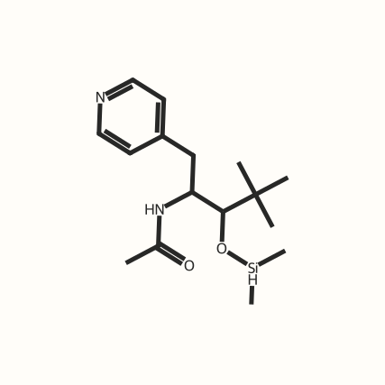 CC(=O)NC(Cc1ccncc1)C(O[SiH](C)C)C(C)(C)C